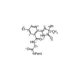 CCCCCC(=O)ONC(=O)c1cc(CC)cnc1C1=NC(C)(C(C)C)C(=O)N1